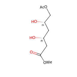 COC(=O)C[C@H](O)C[C@H](O)COC(C)=O